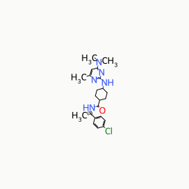 Cc1cc(N(C)C)nc(NC2CCC(C(=O)N[C@@H](C)c3ccc(Cl)cc3)CC2)n1